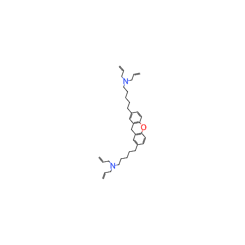 C=CCN(CC=C)CCCCCc1ccc2c(c1)Cc1cc(CCCCCN(CC=C)CC=C)ccc1O2